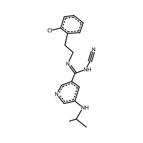 CC(C)Nc1cncc(/C(=N/CCc2ccccc2Cl)NC#N)c1